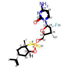 C=C(C)[C@@H]1CC[C@]2(C)S[P@@](=S)(OC[C@H]3O[C@@H](n4ccc(N)nc4=O)[C@H](F)[C@@H]3C)O[C@H]2C1